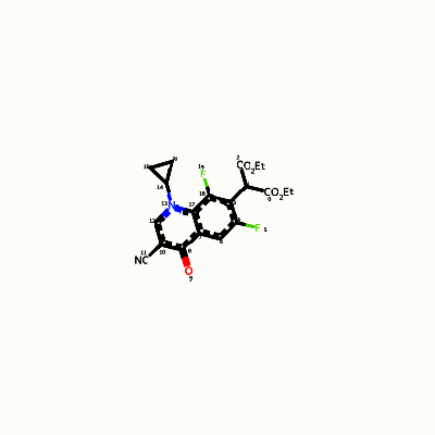 CCOC(=O)C(C(=O)OCC)c1c(F)cc2c(=O)c(C#N)cn(C3CC3)c2c1F